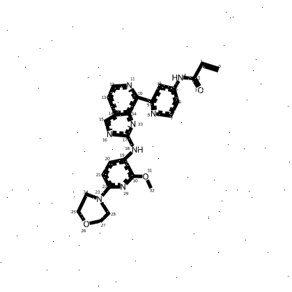 C=CC(=O)Nc1ccnc(-c2nccc3cnc(Nc4ccc(N5CCOCC5)nc4OC)nc23)c1